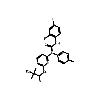 CC(Nc1nccc(N(C(=O)Nc2ccc(F)cc2F)c2ccc(F)cc2)n1)C(C)(C)O